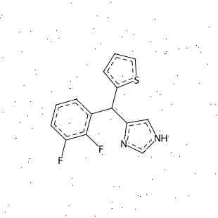 Fc1cccc(C(c2c[nH]cn2)c2cccs2)c1F